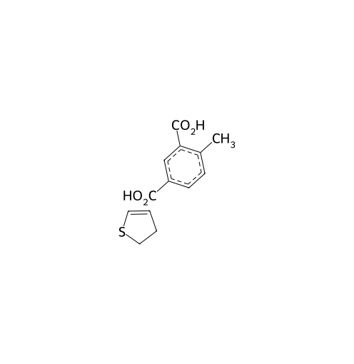 C1=CSCC1.Cc1ccc(C(=O)O)cc1C(=O)O